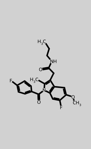 CCCNC(=O)Cc1c(C)n(C(=O)c2ccc(F)cc2)c2cc(F)c(OC)cc12